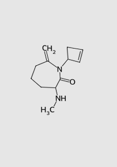 C=C1CCCC(NC)C(=O)N1C1C=CC1